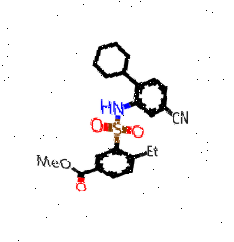 CCc1ccc(C(=O)OC)cc1S(=O)(=O)Nc1cc(C#N)ccc1C1CCCCC1